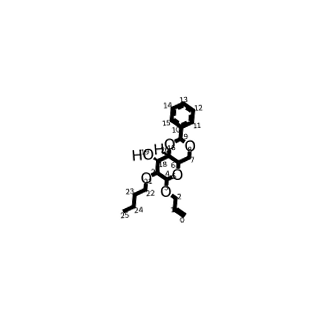 C=CCOC1OC2COC(c3ccccc3)O[C@H]2[C@H](O)C1OCCCC